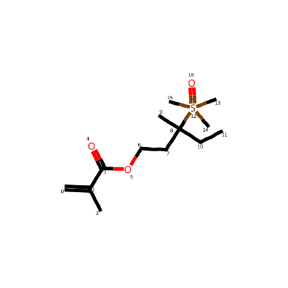 C=C(C)C(=O)OCCC(C)(CC)S(C)(C)(C)=O